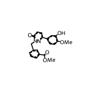 COC(=O)c1cccc(Cn2nc(-c3ccc(OC)c(O)c3)ccc2=O)c1